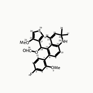 COc1cc(F)ccc1-c1ccc2c(c1C(OC=O)c1cscc1OC)C(C)=CC(C)(C)N2